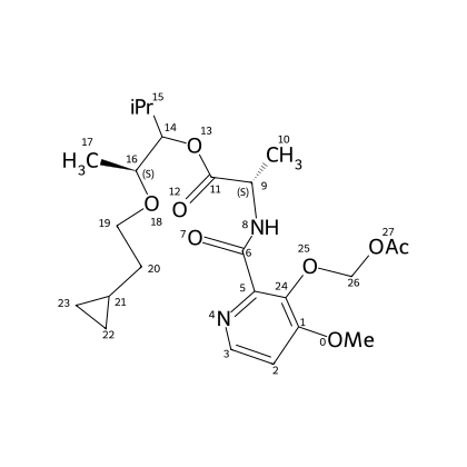 COc1ccnc(C(=O)N[C@@H](C)C(=O)OC(C(C)C)[C@H](C)OCCC2CC2)c1OCOC(C)=O